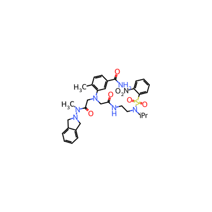 Cc1ccc(C(N)=O)cc1N(CC(=O)NCCN(C(C)C)S(=O)(=O)c1ccccc1[N+](=O)[O-])CC(=O)N(C)N1Cc2ccccc2C1